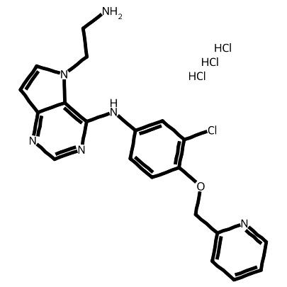 Cl.Cl.Cl.NCCn1ccc2ncnc(Nc3ccc(OCc4ccccn4)c(Cl)c3)c21